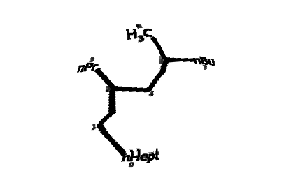 CCCCCCCCC(CCC)CC(C)CCCC